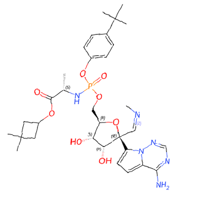 C/N=C\[C@@]1(c2ccc3c(N)ncnn23)O[C@H](COP(=O)(N[C@@H](C)C(=O)OC2CC(C)(C)C2)Oc2ccc(C(C)(C)C)cc2)[C@@H](O)[C@H]1O